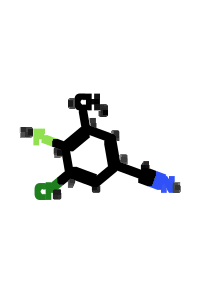 Cc1cc(C#N)cc(Cl)c1F